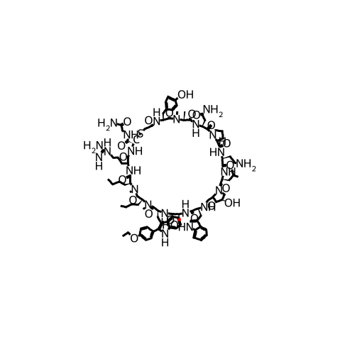 CCCC[C@H]1C(=O)N(C)[C@@H](CCCC)C(=O)NC(CCCNC(=N)N)C(=O)N[C@H](C(=O)NCC(N)=O)CSCC(=O)N[C@@H](Cc2ccc(O)cc2)C(=O)N(C)[C@@H](C)C(=O)N[C@@H](CC(N)=O)C(=O)N2CCC[C@H]2C(=O)N[C@@H](CCN)C(=O)N[C@@H](CC(C)C)C(=O)N2C[C@H](O)CC2C(=O)N[C@@H](Cc2c[nH]c3ccccc23)C(=O)N[C@@H](CO)C(=O)N[C@@H](Cc2c(-c3ccc(OCC)cc3)[nH]c3ccccc23)C(=O)N1C